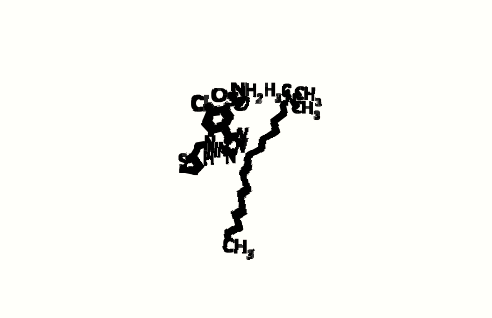 CCCCCCCCCCCCCCCC[N+](C)(C)C.NS(=O)(=O)c1cc(-c2nnn[nH]2)c(NCc2cccs2)cc1Cl